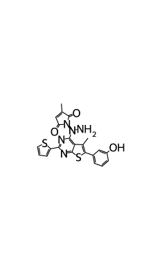 CC1=CC(=O)N(N(N)c2nc(-c3cccs3)nc3sc(-c4cccc(O)c4)c(C)c23)C1=O